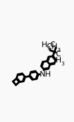 CCC(C)(CC)c1ccc2cc(Nc3ccc(-c4ccc5c(c4)CC5)cc3)ccc2c1